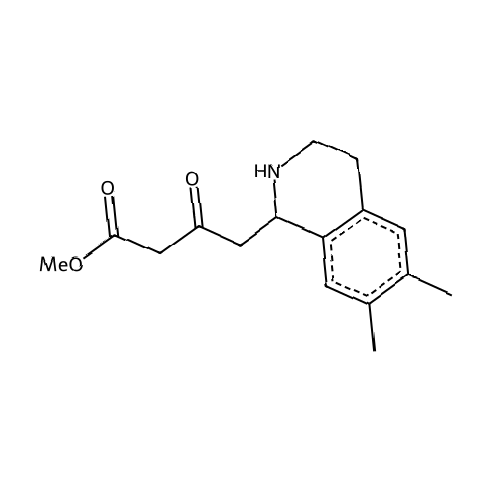 COC(=O)CC(=O)CC1NCCc2cc(C)c(C)cc21